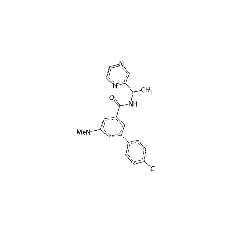 CNc1cc(C(=O)NC(C)c2cnccn2)cc(-c2ccc(Cl)cc2)c1